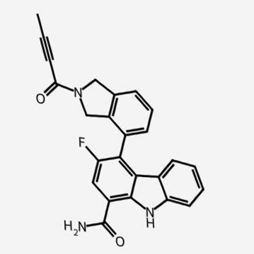 CC#CC(=O)N1Cc2cccc(-c3c(F)cc(C(N)=O)c4[nH]c5ccccc5c34)c2C1